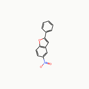 O=[N+]([O-])c1ccc2oc(-c3ccccc3)cc2c1